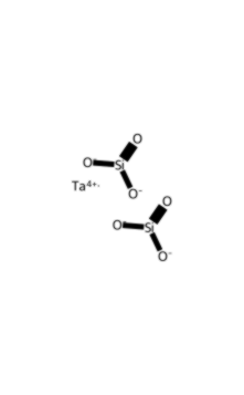 O=[Si]([O-])[O-].O=[Si]([O-])[O-].[Ta+4]